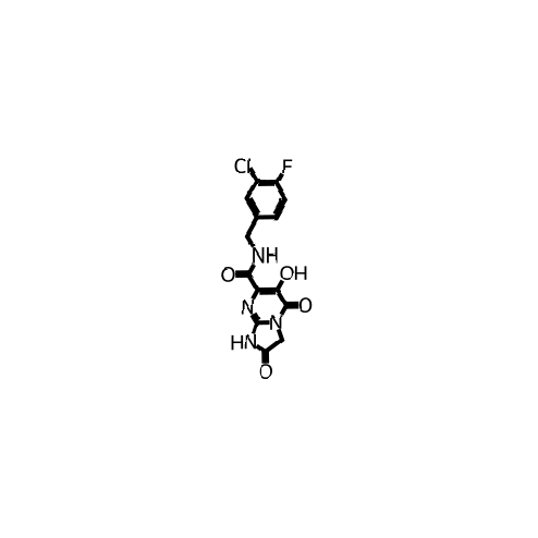 O=C1Cn2c(nc(C(=O)NCc3ccc(F)c(Cl)c3)c(O)c2=O)N1